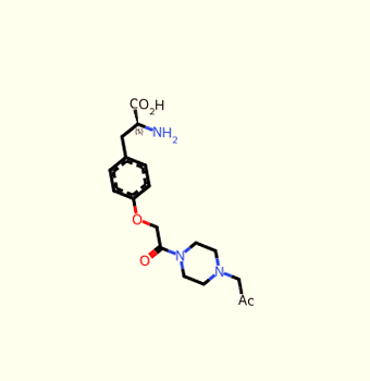 CC(=O)CN1CCN(C(=O)COc2ccc(C[C@H](N)C(=O)O)cc2)CC1